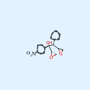 O=[N+]([O-])c1ccc([C@@](O)(C(c2ccccc2)C2CO2)[C@@H]2CO2)cc1